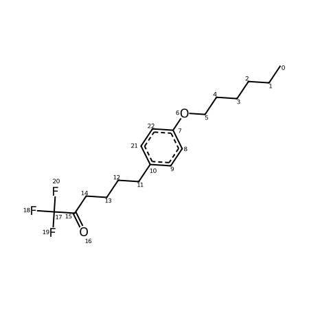 CCCCCCOc1ccc(CCCCC(=O)C(F)(F)F)cc1